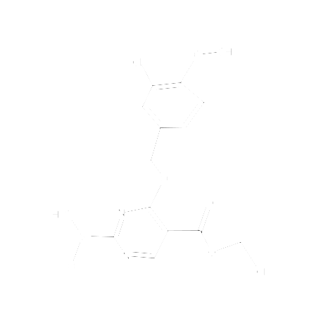 CCOC(=O)c1cnc([S+](C)[O-])nc1OCc1ccc(OC)c(Cl)c1